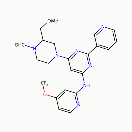 COCC1CN(c2cc(Nc3cc(OC(F)(F)F)ccn3)nc(-c3cccnc3)n2)CCN1C=O